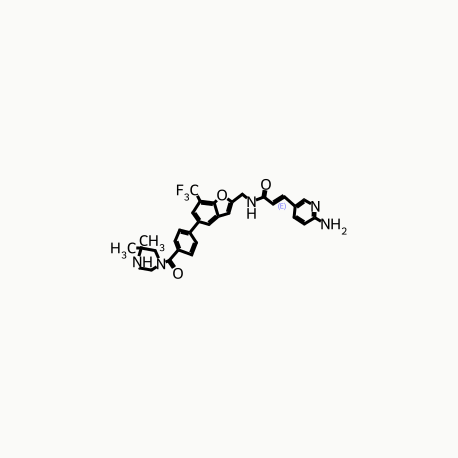 CC1(C)CN(C(=O)c2ccc(-c3cc(C(F)(F)F)c4oc(CNC(=O)/C=C/c5ccc(N)nc5)cc4c3)cc2)CCN1